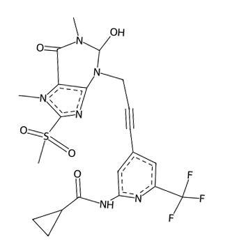 CN1C(=O)c2c(nc(S(C)(=O)=O)n2C)N(CC#Cc2cc(NC(=O)C3CC3)nc(C(F)(F)F)c2)C1O